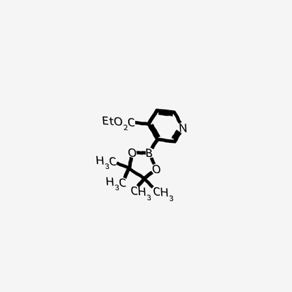 CCOC(=O)c1ccncc1B1OC(C)(C)C(C)(C)O1